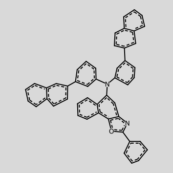 c1ccc(-c2nc3cc(N(c4cccc(-c5ccc6ccccc6c5)c4)c4cccc(-c5ccc6ccccc6c5)c4)c4ccccc4c3o2)cc1